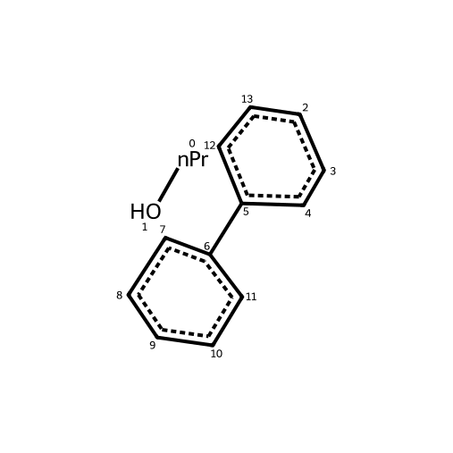 CCCO.c1ccc(-c2ccccc2)cc1